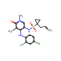 C=CCC1(S(=O)(=O)Nc2cn(C)c(=O)c(C)c2Nc2ccc(Br)cc2Cl)CC1